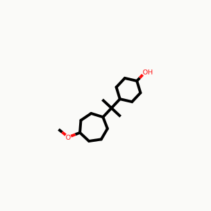 COC1CCCC(C(C)(C)C2CCC(O)CC2)CC1